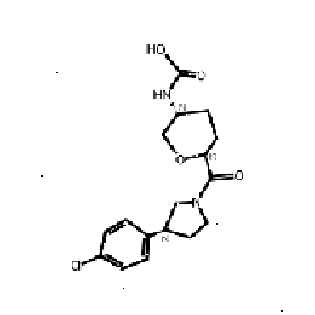 O=C(O)N[C@@H]1CC[C@@H](C(=O)N2CC[C@@H](c3ccc(Cl)cc3)C2)OC1